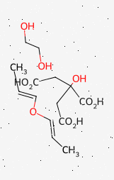 CC=COC=CC.O=C(O)CC(O)(CC(=O)O)C(=O)O.OCCO